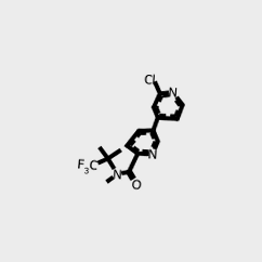 CN(C(=O)c1ccc(-c2ccnc(Cl)c2)cn1)C(C)(C)C(F)(F)F